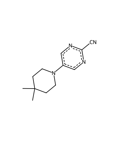 CC1(C)CCN(c2cnc(C#N)nc2)CC1